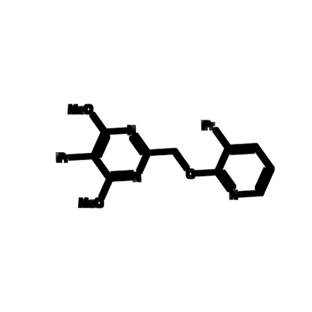 COc1nc(COc2ncccc2C(C)C)nc(OC)c1C(C)C